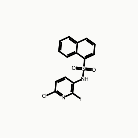 O=S(=O)(Nc1ccc(Cl)nc1I)c1cccc2ccccc12